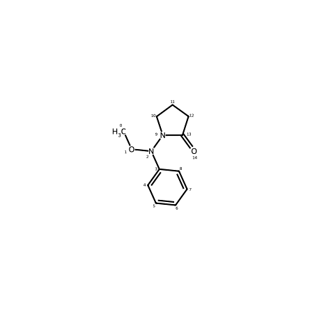 CON(c1ccccc1)N1CCCC1=O